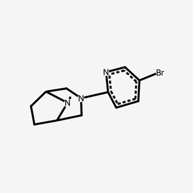 CN1C2CCC1CN(c1ccc(Br)cn1)C2